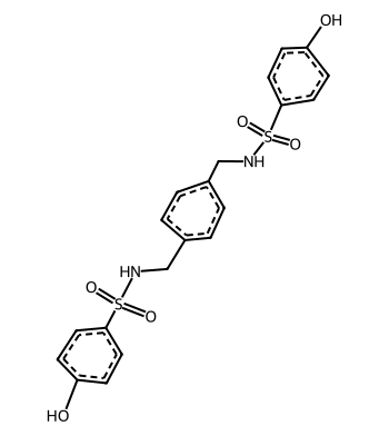 O=S(=O)(NCc1ccc(CNS(=O)(=O)c2ccc(O)cc2)cc1)c1ccc(O)cc1